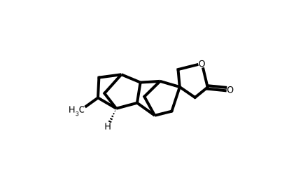 CC1CC2C[C@H]1C1C3CC(C21)C1(COC(=O)C1)C3